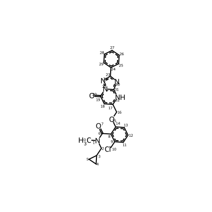 CN(CC1CC1)C(=O)c1c(Cl)cccc1OCc1cc(=O)n2nc(-c3ccccc3)nc2[nH]1